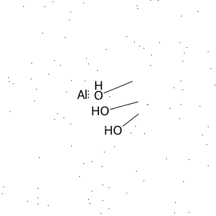 CO.CO.CO.[Al]